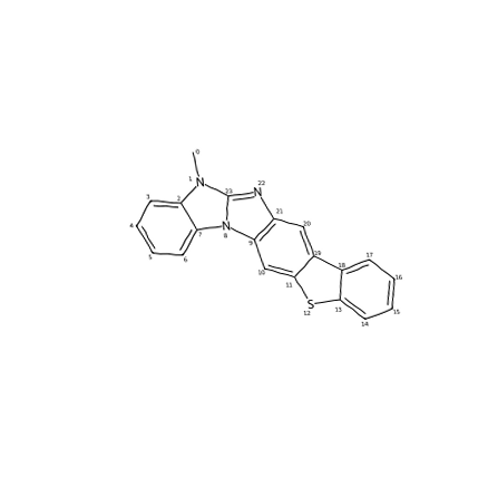 Cn1c2ccccc2n2c3cc4sc5ccccc5c4cc3nc12